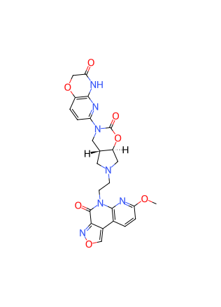 COc1ccc2c3conc3c(=O)n(CCN3C[C@@H]4CN(c5ccc6c(n5)NC(=O)CO6)C(=O)O[C@H]4C3)c2n1